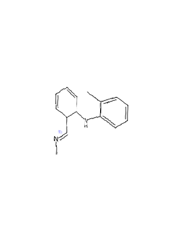 C/N=C/C1C=CC=CC1Nc1ccccc1C